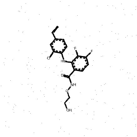 C=Cc1ccc(Nc2c(C(=O)NOCCO)ccc(F)c2F)c(Cl)c1